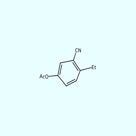 CCc1ccc(OC(C)=O)cc1C#N